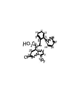 CC(C)c1cnc2c(N(Cc3ccccc3-n3cccn3)C(=O)O)cc(Cl)nn12